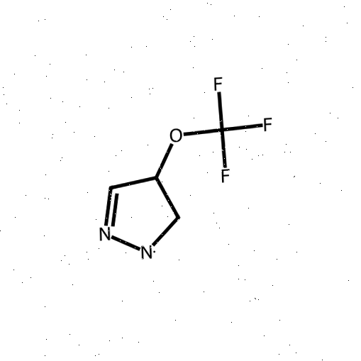 FC(F)(F)OC1C=N[N]C1